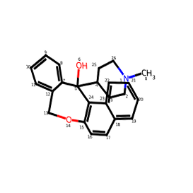 CN1CCC(C2(O)c3ccccc3COc3ccc4ccccc4c32)CC1